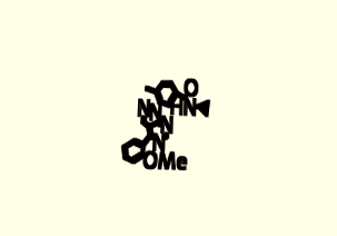 COc1ccccc1-c1ncnc2c1cnn2-c1cc(C(=O)NC2CC2)ccc1C